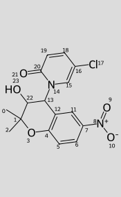 CC1(C)Oc2ccc([N+](=O)[O-])cc2C(n2cc(Cl)ccc2=O)C1O